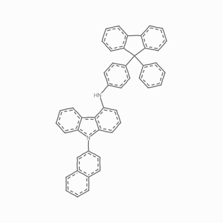 c1ccc(C2(c3ccc(Nc4cccc5c4c4ccccc4n5-c4ccc5ccccc5c4)cc3)c3ccccc3-c3ccccc32)cc1